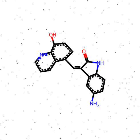 Nc1ccc2c(c1)C(=Cc1ccc(O)c3ncccc13)C(=O)N2